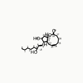 CCCCC[C@](C)(O)/C=C/[C@@H]1[C@H]2C/C=C\CCCC(=O)O[C@H]2C[C@H]1O